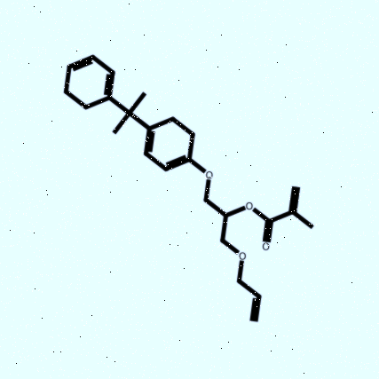 C=CCOCC(COC1=CC=C(C(C)(C)C2=CC=CCC2)CC1)OC(=O)C(=C)C